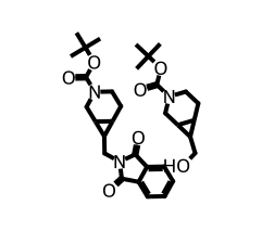 CC(C)(C)OC(=O)N1CCC2C(C1)C2CN1C(=O)c2ccccc2C1=O.CC(C)(C)OC(=O)N1CCC2C(CO)C2C1